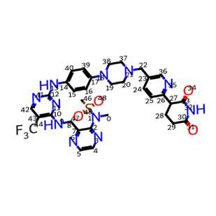 CN(c1nccnc1CNc1nc(Nc2ccc(N3CCN(Cc4ccc(C5CCC(=O)NC5=O)nc4)CC3)cc2)ncc1C(F)(F)F)S(C)(=O)=O